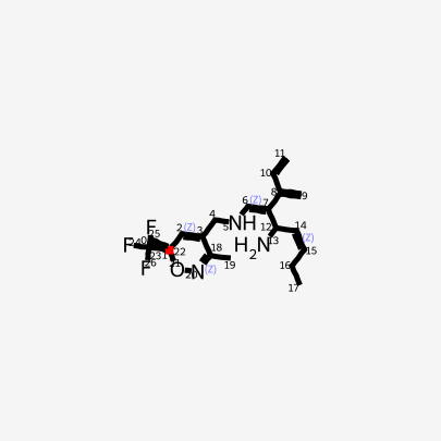 C=C/C=C(CN/C=C(/C(=C)C=C)C(N)/C=C\CC)\C(C)=N/OCC(F)(F)F